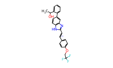 CC(O)c1ccccc1-c1ccc2[nH]c(/C=C/c3ccc(OCC(F)(F)F)cc3)nc2c1